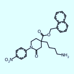 NCCCCC1(C(=O)OCc2cccc3ccccc23)CCN(c2ccc([N+](=O)[O-])cc2)C(=O)C1